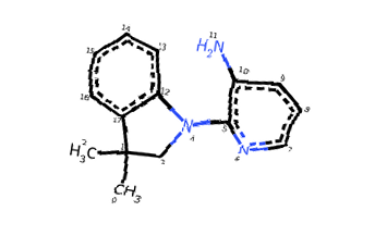 CC1(C)CN(c2ncccc2N)c2ccccc21